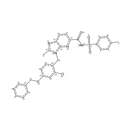 Cc1ccc(S(=O)(=O)NC(=O)c2ccc3nc(C)n(Cc4ccc(OCc5ccccc5)cc4Cl)c3n2)cc1